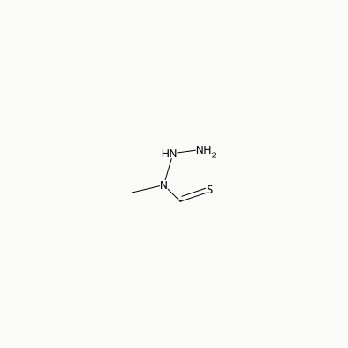 CN(C=S)NN